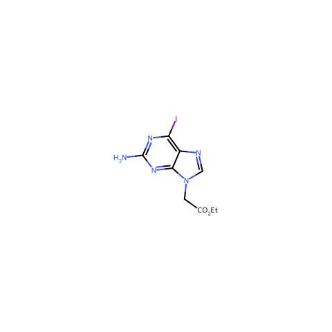 CCOC(=O)Cn1cnc2c(I)nc(N)nc21